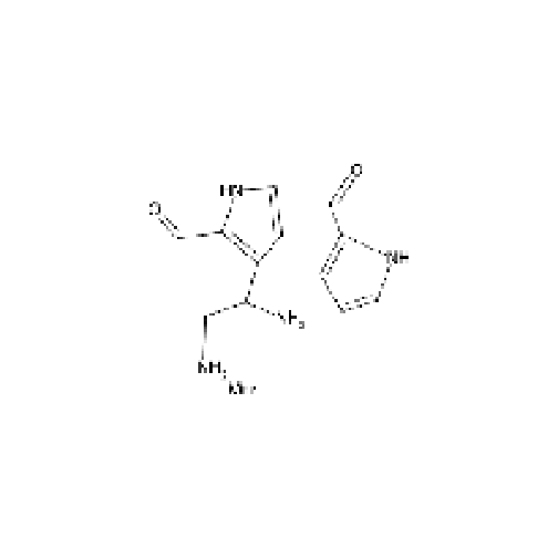 NCC(N)c1cc[nH]c1C=O.O=Cc1ccc[nH]1.[Mn]